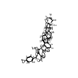 COc1ccc(C2OCC3O[C@@H](O[C@H]4CC[C@@]5(C)C(=CC[C@H]6[C@@H]7C[C@@H]8O[C@]9(CC[C@@H](C)CO9)[C@@H](C)[C@@H]8[C@@]7(C)CC[C@@H]65)C4)C(O)[C@@H](O)[C@@H]3O2)cc1